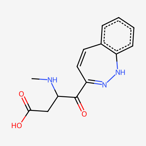 CNC(CC(=O)O)C(=O)C1=NNc2ccccc2C=C1